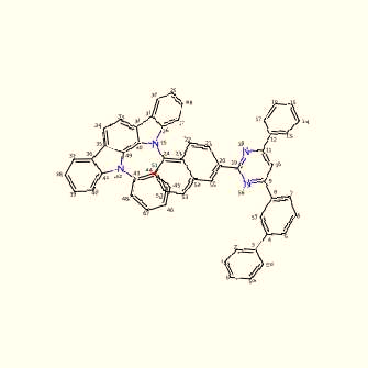 c1ccc(-c2cccc(-c3cc(-c4ccccc4)nc(-c4ccc5c(-n6c7ccccc7c7ccc8c9ccccc9n(-c9ccccc9)c8c76)cccc5c4)n3)c2)cc1